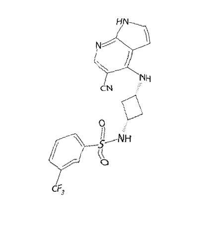 N#Cc1cnc2[nH]ccc2c1N[C@H]1C[C@@H](NS(=O)(=O)c2cccc(C(F)(F)F)c2)C1